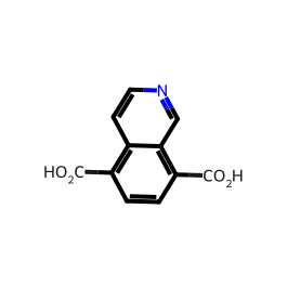 O=C(O)c1ccc(C(=O)O)c2cnccc12